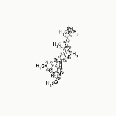 CCc1c(-c2ccc(NC(=O)[C@H](c3cnn(CCOC)c3C(N)=O)C3CCC(C)CC3)nc2F)c(C)nn1COCC[Si](C)(C)C